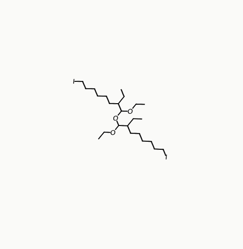 CCOC(OC(OCC)C(CC)CCCCCCI)C(CC)CCCCCCI